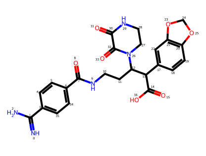 N=C(N)c1ccc(C(=O)NCCC(C(C(=O)O)c2ccc3c(c2)OCO3)N2CCNC(=O)C2=O)cc1